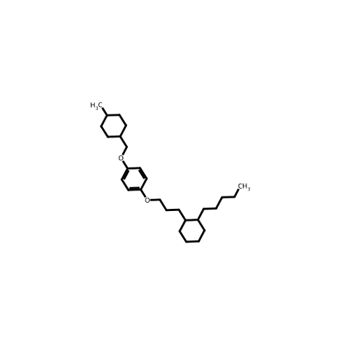 CCCCCC1CCCCC1CCCOc1ccc(OCC2CCC(C)CC2)cc1